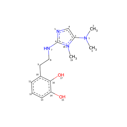 CN(C)c1cnc(NCCc2cccc(O)c2O)n1C